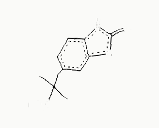 O=C(O)C(F)(F)c1ccc2[nH]c(=O)[nH]c2c1